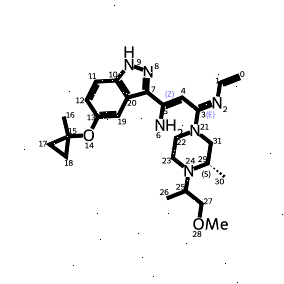 C=C/N=C(\C=C(/N)c1n[nH]c2ccc(OC3(C)CC3)cc12)N1CCN(C(C)COC)[C@@H](C)C1